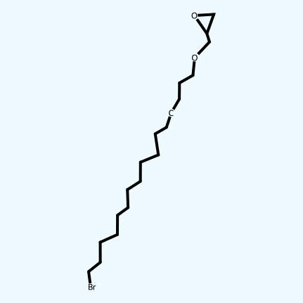 BrCCCCCCCCCCCCCCCCOCC1CO1